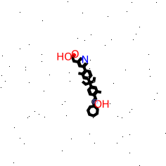 CCC(CC)(c1ccc(/C=C/C2(O)CCCCCC2)c(C)c1)c1ccc(-c2cncc(CC(=O)O)c2)c(C)c1